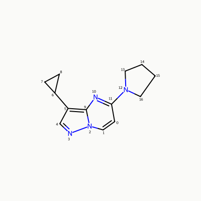 c1cn2ncc(C3CC3)c2nc1N1CCCC1